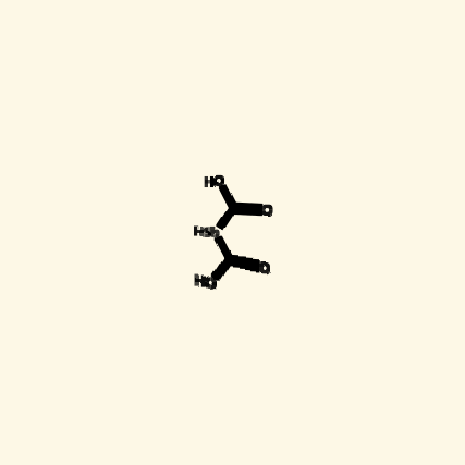 O=[C](O)[SbH][C](=O)O